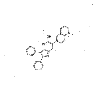 OC1=C(c2ccc3ncccc3c2)Cn2nc(-c3ccccc3)c(-c3ccccc3)c2N1